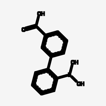 O=C(O)c1cccc(-c2ccccc2B(O)O)c1